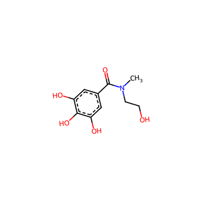 CN(CCO)C(=O)c1cc(O)c(O)c(O)c1